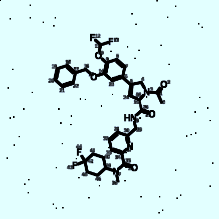 CC(=O)N1CC(c2ccc(OC(F)F)c(OCc3ccccc3)c2)=C[C@@H]1C(=O)NCc1cccc(C(=O)N(C)C2CCC(F)(F)CC2)n1